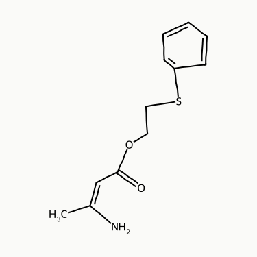 C/C(N)=C/C(=O)OCCSc1ccccc1